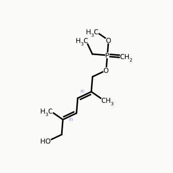 C=P(CC)(OC)OC/C(C)=C/C=C(\C)CO